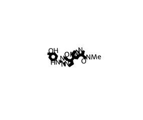 CNC(=O)c1cnn2ccc(-c3ccn4nc(NC5CCC(C)(O)CC5)nc(OC)c34)cc12